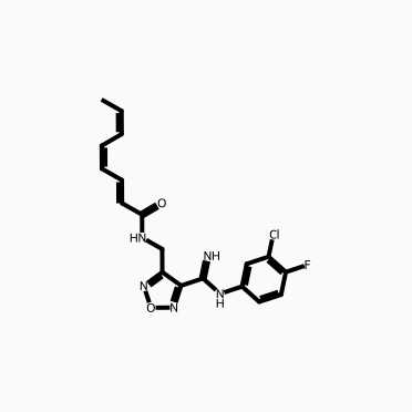 C\C=C/C=C\C=C\C(=O)NCc1nonc1C(=N)Nc1ccc(F)c(Cl)c1